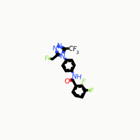 O=C(Nc1ccc(-n2c(CF)nnc2C(F)(F)F)cc1)c1cccc(F)c1F